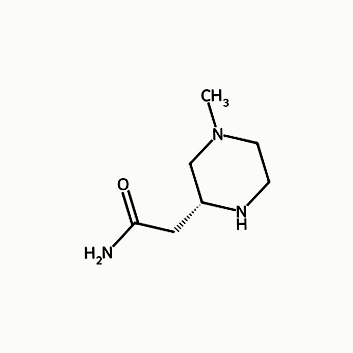 CN1CCN[C@H](CC(N)=O)C1